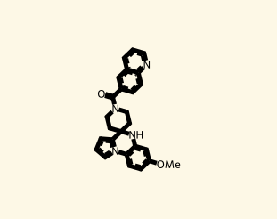 COc1ccc2c(c1)NC1(CCN(C(=O)c3ccc4ncccc4c3)CC1)c1cccn1-2